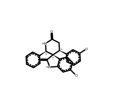 O=C1C[C@@H](c2cccc(Cl)c2)[C@]2(C(=O)Nc3cc(Cl)ccc32)[C@@H](c2ccccc2)N1